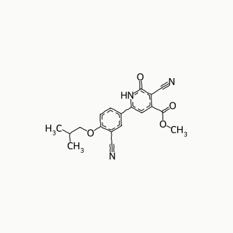 COC(=O)c1cc(-c2ccc(OCC(C)C)c(C#N)c2)[nH]c(=O)c1C#N